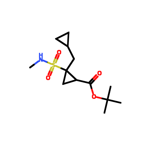 CNS(=O)(=O)C1(CC2CC2)CC1C(=O)OC(C)(C)C